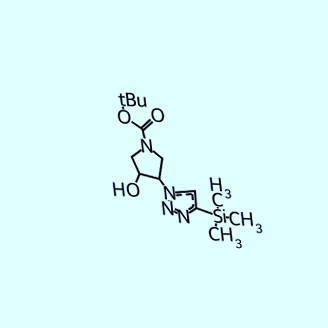 CC(C)(C)OC(=O)N1CC(O)C(n2cc([Si](C)(C)C)nn2)C1